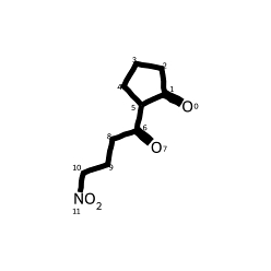 O=C1CCCC1C(=O)CCC[N+](=O)[O-]